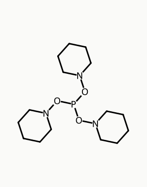 C1CCN(OP(ON2CCCCC2)ON2CCCCC2)CC1